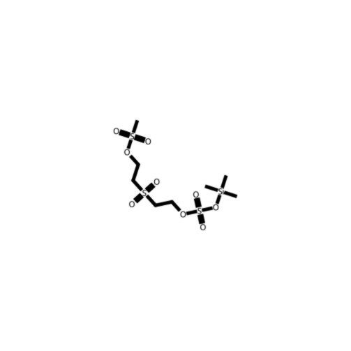 C[Si](C)(C)OS(=O)(=O)OCCS(=O)(=O)CCOS(C)(=O)=O